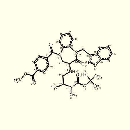 COC(=O)c1ccc(C(=O)N2C[C@H](NC[C@H](C)N(C)C(=O)OC(C)(C)C)C(=O)N(Cc3noc4ccccc34)c3ccccc32)cc1